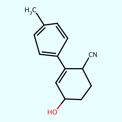 Cc1ccc(C2=CC(O)CCC2C#N)cc1